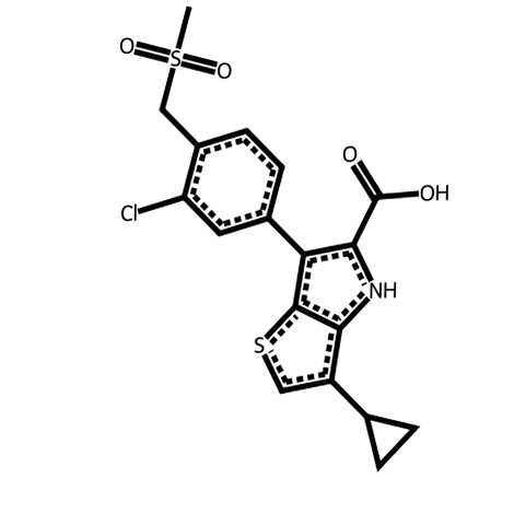 CS(=O)(=O)Cc1ccc(-c2c(C(=O)O)[nH]c3c(C4CC4)csc23)cc1Cl